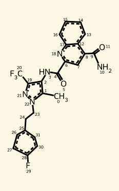 Cc1c(NC(=O)c2cc(C(N)=O)c3ccccc3n2)c(C(F)(F)F)nn1CCc1ccc(F)cc1